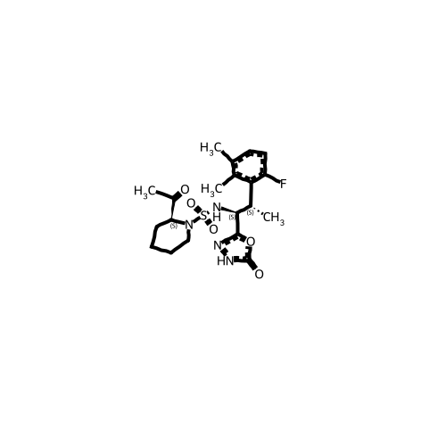 CC(=O)[C@@H]1CCCCN1S(=O)(=O)N[C@H](c1n[nH]c(=O)o1)[C@@H](C)c1c(F)ccc(C)c1C